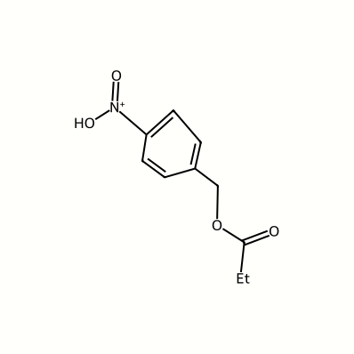 CCC(=O)OCc1ccc([N+](=O)O)cc1